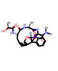 CCN(CC)C(=O)c1nc2oc1C13c4ccccc4N[C@H]1Oc1ccc(cc13)C[C@H](NC(=O)[C@@H](O)C(C)C)C(=O)N[C@H]2C(C)C